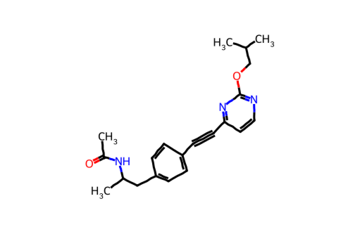 CC(=O)NC(C)Cc1ccc(C#Cc2ccnc(OCC(C)C)n2)cc1